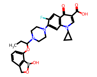 CCC(Oc1cccc2c1B(O)OC2)N1CCN(c2cc3c(cc2F)c(=O)c(C(=O)O)cn3C2CC2)CC1